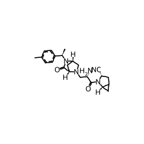 Cc1ccc([C@@H](C)N2C(=O)[C@@H]3C[C@H]2CN3C[C@H](N)C(=O)N2[C@H](C#N)CC3C[C@@H]32)cc1